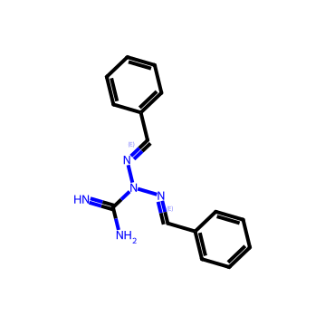 N=C(N)N(/N=C/c1ccccc1)/N=C/c1ccccc1